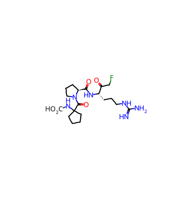 N=C(N)NCCC[C@H](NC(=O)[C@@H]1CCCN1C(=O)C1(NC(=O)O)CCCC1)C(=O)CF